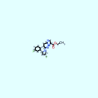 CCOC(=O)c1cnc2ccc(N3C[C@H](F)C[C@H]3c3cccc(F)c3)nn12